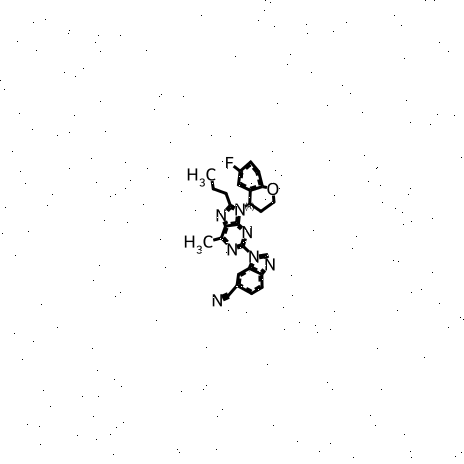 CCCc1nc2c(C)nc(-n3cnc4ccc(C#N)cc43)nc2n1[C@@H]1CCOc2ccc(F)cc21